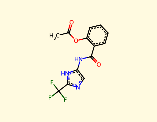 CC(=O)Oc1ccccc1C(=O)Nc1cnc(C(F)(F)F)[nH]1